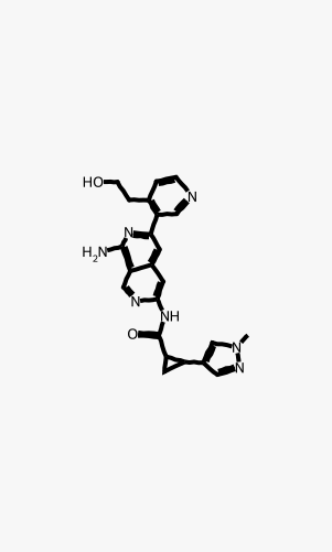 Cn1cc(C2CC2C(=O)Nc2cc3cc(-c4cnccc4CCO)nc(N)c3cn2)cn1